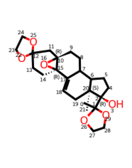 CC1([C@@]2(O)CCC3C4CC[C@@]56CC7(CC[C@@]5(O6)C4=CC[C@@]32C)OCCO7)OCCO1